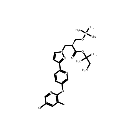 CC(C)(CN)OC(=O)[C@H](CO[Si](C)(C)C(C)(C)C)Cn1ccc(-c2ccc(Oc3ncc(Cl)cc3F)cn2)n1